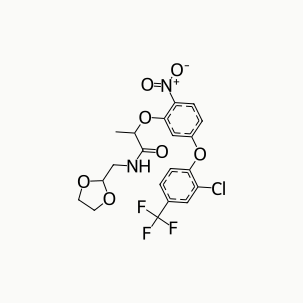 CC(Oc1cc(Oc2ccc(C(F)(F)F)cc2Cl)ccc1[N+](=O)[O-])C(=O)NCC1OCCO1